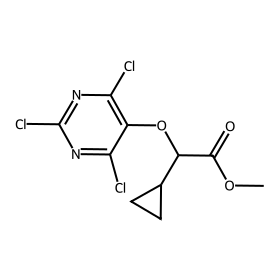 COC(=O)C(Oc1c(Cl)nc(Cl)nc1Cl)C1CC1